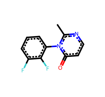 Cc1nccc(=O)n1-c1cccc(F)c1F